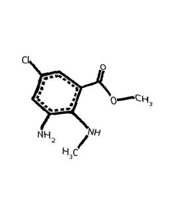 CNc1c(N)cc(Cl)cc1C(=O)OC